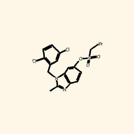 Cc1nc2ccc(OS(=O)(=O)CC(C)C)cc2n1Cc1cc(Cl)ccc1Cl